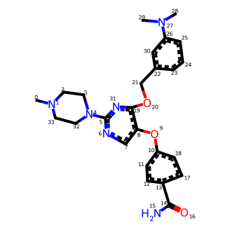 CN1CCN(c2ncc(Oc3ccc(C(N)=O)cc3)c(OCc3cccc(N(C)C)c3)n2)CC1